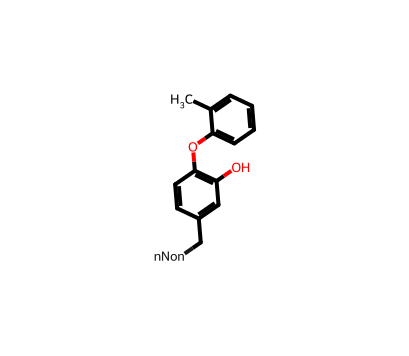 CCCCCCCCCCc1ccc(Oc2ccccc2C)c(O)c1